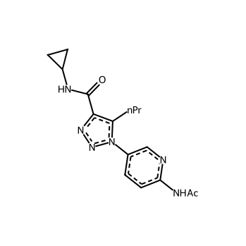 CCCc1c(C(=O)NC2CC2)nnn1-c1ccc(NC(C)=O)nc1